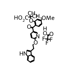 COc1ccc(C(=O)c2ccc(OCCc3c[nH]c4ccccc34)nc2)c(OC(C)(C)C(=O)O)c1.O=C(O)C(F)(F)F